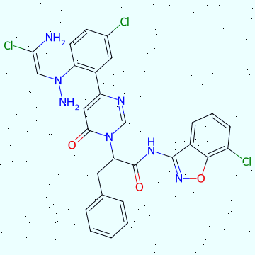 N/C(Cl)=C\N(N)c1ccc(Cl)cc1-c1cc(=O)n(C(Cc2ccccc2)C(=O)Nc2noc3c(Cl)cccc23)cn1